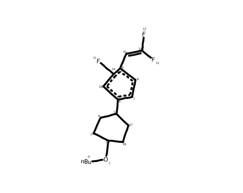 CCCCOC1CCC(c2ccc(C=C(F)F)c(F)c2)CC1